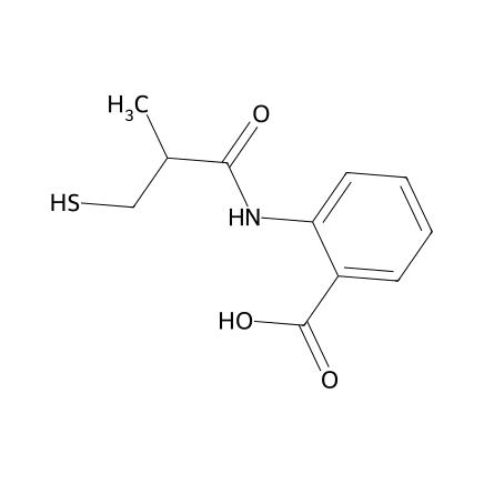 CC(CS)C(=O)Nc1ccccc1C(=O)O